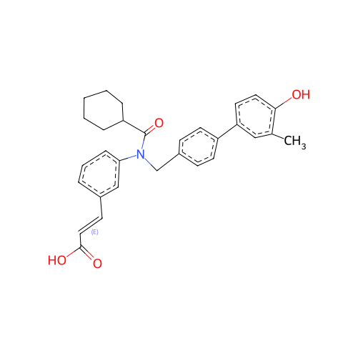 Cc1cc(-c2ccc(CN(C(=O)C3CCCCC3)c3cccc(/C=C/C(=O)O)c3)cc2)ccc1O